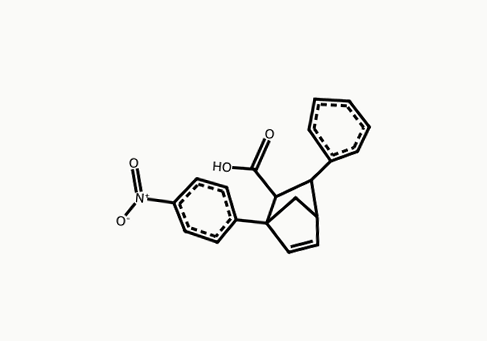 O=C(O)C1C(c2ccccc2)C2C=CC1(c1ccc([N+](=O)[O-])cc1)C2